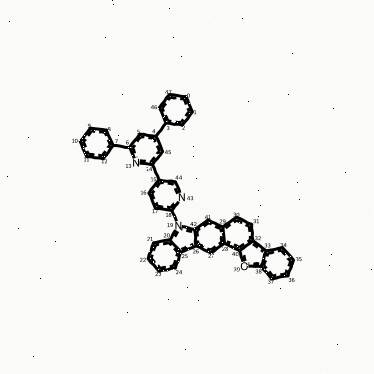 c1ccc(-c2cc(-c3ccccc3)nc(-c3ccc(-n4c5ccccc5c5cc6c(ccc7c8ccccc8oc67)cc54)nc3)c2)cc1